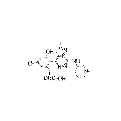 Cc1cc2c(-c3c(O)cc(Cl)cc3F)nnc(N[C@@H]3CCCN(C)C3)n2n1.O=CO